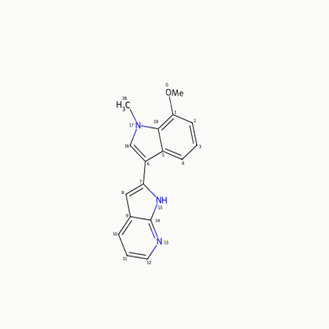 COc1cccc2c(-c3cc4cccnc4[nH]3)cn(C)c12